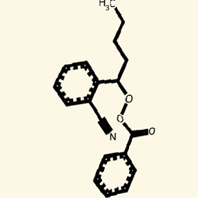 CCCCC(OOC(=O)c1ccccc1)c1ccccc1C#N